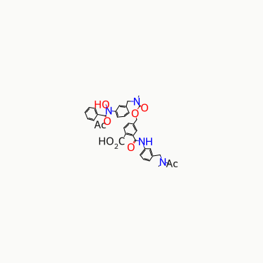 CC(=O)c1ccccc1C(=O)N(O)c1cccc(CN(C)C(=O)OCc2ccc(C(=O)O)c(C(=O)Nc3cccc(CN(C)C(C)=O)c3)c2)c1